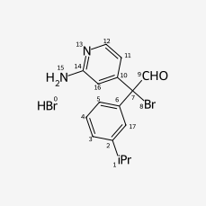 Br.CC(C)c1cccc(C(Br)(C=O)c2ccnc(N)c2)c1